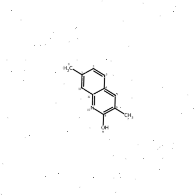 [CH2]c1ccc2cc(C)c(O)nc2c1